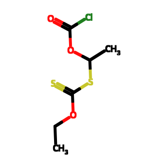 CCOC(=S)SC(C)OC(=O)Cl